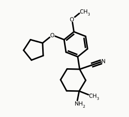 COc1ccc(C2(C#N)CCCC(C)(N)C2)cc1OC1CCCC1